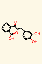 O=C(O)c1ccccc1C(=O)C=Cc1ccc(O)c(O)c1